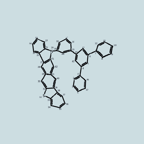 c1ccc(-c2cc(-c3ccccc3)cc(-c3cccc(-n4c5ccccc5c5cc6cc7sc8ccccc8c7cc6cc54)c3)c2)cc1